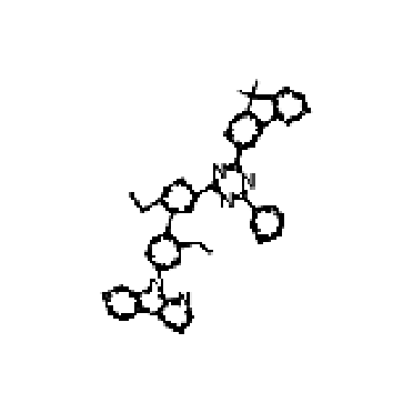 CCc1cc(-n2c3ccccc3c3cccnc32)ccc1-c1cc(-c2nc(-c3ccccc3)nc(-c3ccc4c(c3)-c3ccccc3C4(C)C)n2)ccc1CC